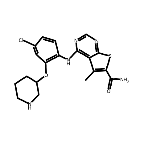 Cc1c(C(N)=O)sc2ncnc(Nc3ccc(Cl)cc3OC3CCCNC3)c12